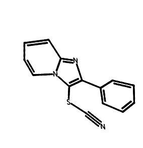 N#CSc1c(-c2ccccc2)nc2ccccn12